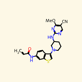 C=CC(=O)Nc1ccc2c(N3CCCC(Nc4ncc(C#N)c(OC)n4)C3)csc2c1